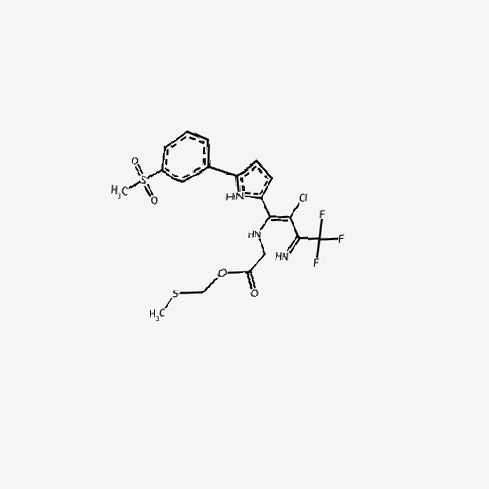 CSCOC(=O)CN/C(=C(/Cl)C(=N)C(F)(F)F)c1ccc(-c2cccc(S(C)(=O)=O)c2)[nH]1